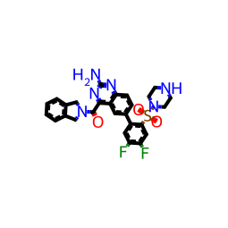 Nc1nc(C(=O)N2Cc3ccccc3C2)c2cc(-c3cc(F)c(F)cc3S(=O)(=O)N3CCNCC3)ccc2n1